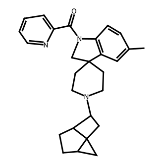 Cc1ccc2c(c1)C1(CCN(C3CC45CC4CCC35)CC1)CN2C(=O)c1ccccn1